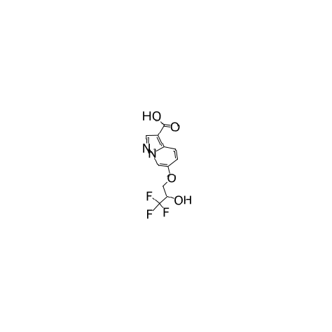 O=C(O)c1cnn2cc(OCC(O)C(F)(F)F)ccc12